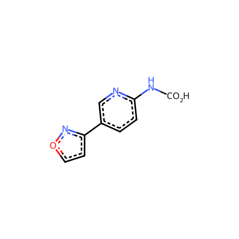 O=C(O)Nc1ccc(-c2ccon2)cn1